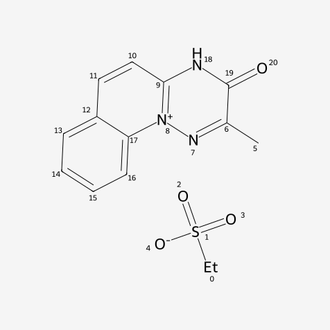 CCS(=O)(=O)[O-].Cc1n[n+]2c(ccc3ccccc32)[nH]c1=O